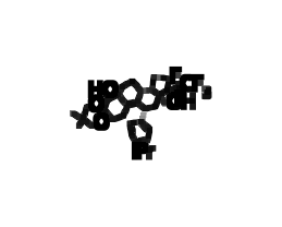 CC(C)c1ccc([C@H]2CC3(C)C(CCC3(O)C(F)(F)C(F)(F)F)C3CCC4(O)CC5(CCC4=C32)OCC(C)(C)CO5)cc1